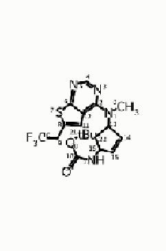 CN(c1ncnc2sc(CC(F)(F)F)cc12)C1C=CC(NC(=O)OC(C)(C)C)C1